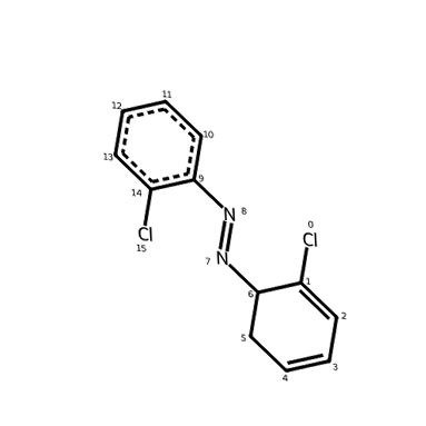 ClC1=CC=CCC1N=Nc1ccccc1Cl